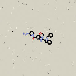 N[C@@H]1CCCN(C(=O)c2cc3c4c(c2)nc(-c2cc5ccccc5n2Cc2ccccc2)n4CCO3)C1